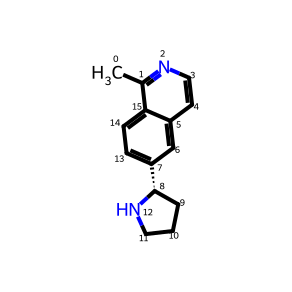 Cc1nccc2cc([C@@H]3CCCN3)ccc12